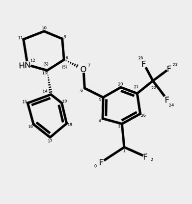 FC(F)c1cc(CO[C@H]2CCCN[C@H]2c2ccccc2)cc(C(F)(F)F)c1